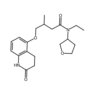 CCN(C(=O)CC(C)COc1cccc2c1CCC(=O)N2)C1CCOC1